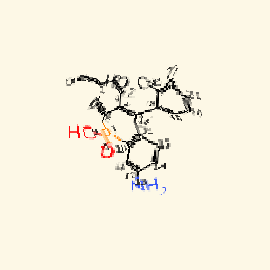 C=c1ccc2c(c1)P(=O)(O)c1cc(N)ccc1C=2c1ccccc1C(=O)O